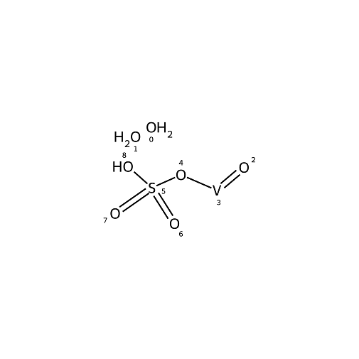 O.O.[O]=[V][O]S(=O)(=O)O